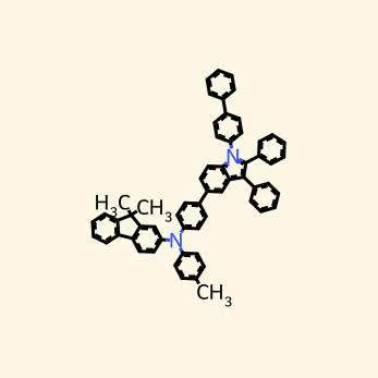 Cc1ccc(N(c2ccc(-c3ccc4c(c3)c(-c3ccccc3)c(-c3ccccc3)n4-c3ccc(-c4ccccc4)cc3)cc2)c2ccc3c(c2)C(C)(C)c2ccccc2-3)cc1